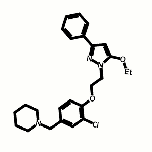 CCOc1cc(-c2ccccc2)nn1CCOc1ccc(CN2CCCCC2)cc1Cl